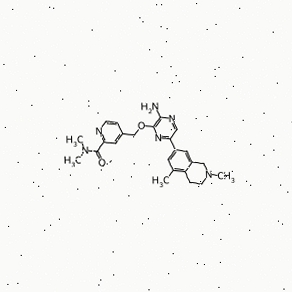 Cc1cc(-c2cnc(N)c(OCc3ccnc(C(=O)N(C)C)c3)n2)cc2c1CCN(C)C2